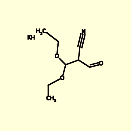 CCOC(OCC)C(C#N)C=O.[KH]